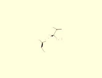 C/C=C(/C)O/N=C(\N)C(C)C